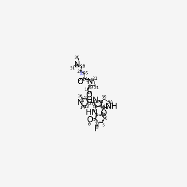 COc1c(F)cccc1Nc1c(-c2ccncc2OC[C@@H]2CCN2C(=O)/C=C/CN(C)C)[nH]c2c1C(=O)NCC2